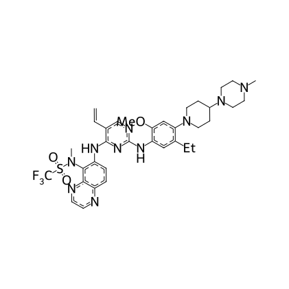 C=Cc1cnc(Nc2cc(CC)c(N3CCC(N4CCN(C)CC4)CC3)cc2OC)nc1Nc1ccc2nccnc2c1N(C)S(=O)(=O)C(F)(F)F